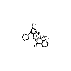 BC1(B)c2ncccc2C(=O)N1Cc1c(F)cc(Br)cc1C1CCCC1